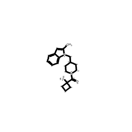 Cc1cc2ccccc2n1CC1CCN(C(=O)C2(C(F)(F)F)CCC2)CC1